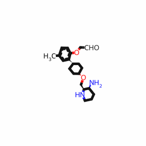 Cc1ccc(OCC=O)c([C@H]2CC[C@@H](OC[C@@H]3NCCC[C@@H]3N)CC2)c1